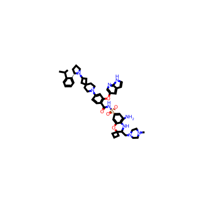 CC(C)c1ccccc1[C@@H]1CCCN1C1CC2(CCN(c3ccc(C(=O)NS(=O)(=O)c4cc(N)c5c(c4)OC4(CCC4)C(CN4CCN(C)CC4)N5)c(Oc4cnc5[nH]ccc5c4)c3)CC2)C1